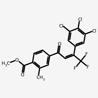 COC(=O)c1ccc(C(=O)/C=C(\c2cc(Cl)c(Cl)c(Cl)c2)C(F)(F)F)cc1C